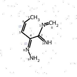 C=NC(=N)C(/C=C\C)=N\N